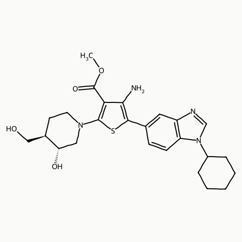 COC(=O)c1c(N2CC[C@H](CO)[C@@H](O)C2)sc(-c2ccc3c(c2)ncn3C2CCCCC2)c1N